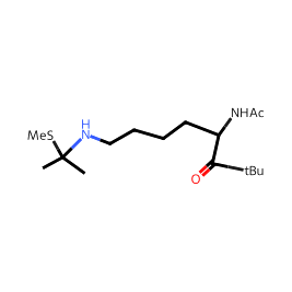 CSC(C)(C)NCCCCC(NC(C)=O)C(=O)C(C)(C)C